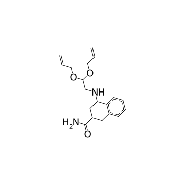 C=CCOC(CNC1CC(C(N)=O)Cc2ccccc21)OCC=C